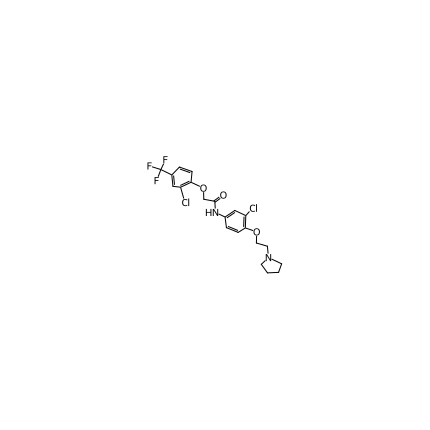 O=C(COc1ccc(C(F)(F)F)cc1Cl)Nc1ccc(OCCN2CCCC2)c(Cl)c1